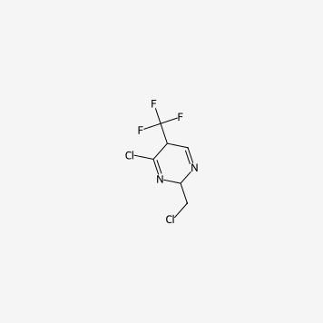 FC(F)(F)C1C=NC(CCl)N=C1Cl